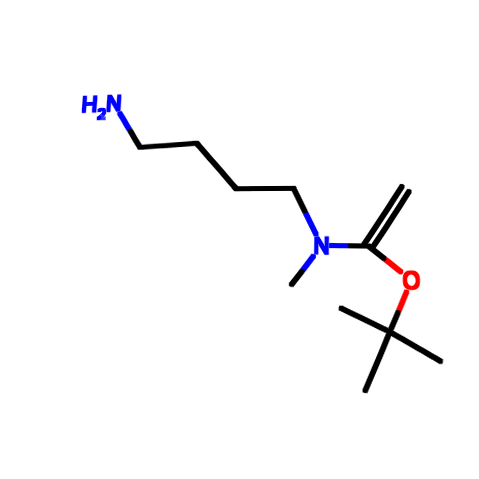 C=C(OC(C)(C)C)N(C)CCCCN